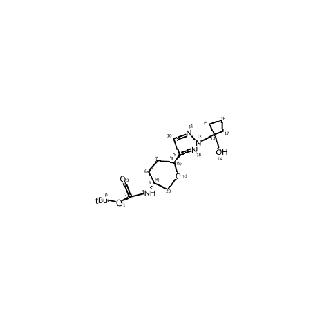 CC(C)(C)OC(=O)N[C@@H]1CC[C@@H](c2cnn(C3(O)CCC3)n2)OC1